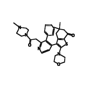 CN1CCN(C(=O)Cc2nccc(-c3c(N4CCOCC4)sc4c3CC(C)(C)CC4=O)c2-c2ccccc2)CC1